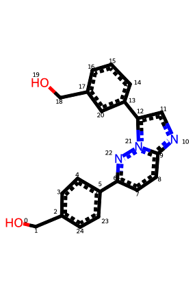 OCc1ccc(-c2ccc3ncc(-c4cccc(CO)c4)n3n2)cc1